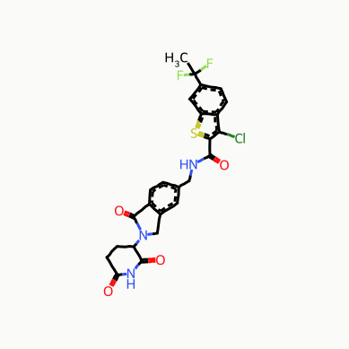 CC(F)(F)c1ccc2c(Cl)c(C(=O)NCc3ccc4c(c3)CN(C3CCC(=O)NC3=O)C4=O)sc2c1